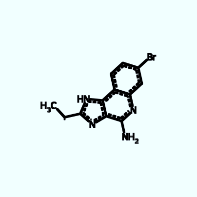 C[CH]c1nc2c(N)nc3cc(Br)ccc3c2[nH]1